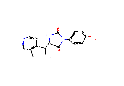 CC(c1ccncc1C(=O)O)C1NC(=O)N(c2ccc(OC(F)(F)F)cc2)C1=O